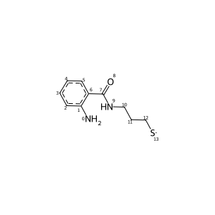 Nc1ccccc1C(=O)NCCC[S]